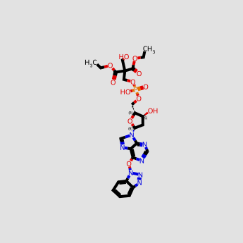 CCOC(=O)C(CO)(COP(=O)(O)OC[C@H]1O[C@@H](n2cnc3c(On4nnc5ccccc54)ncnc32)C[C@@H]1O)C(=O)OCC